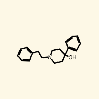 OC1(c2ccccc2)CCN(CCc2ccccc2)CC1